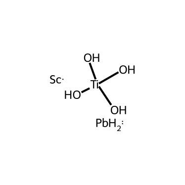 [OH][Ti]([OH])([OH])[OH].[PbH2].[Sc]